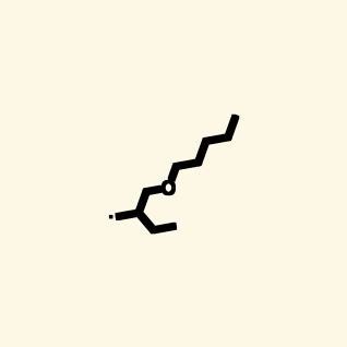 [CH2]C(CC)COCCCCC